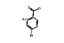 O=C([O-])c1ccc(Br)cc1.[Na+]